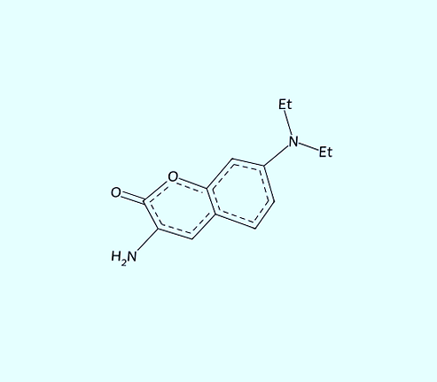 CCN(CC)c1ccc2cc(N)c(=O)oc2c1